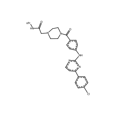 CCCNC(=O)CN1CCN(C(=O)c2ccc(Nc3nccc(-c4ccc(Cl)cc4)n3)cc2)CC1